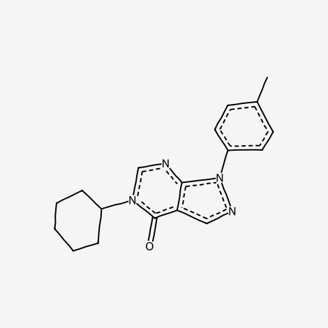 Cc1ccc(-n2ncc3c(=O)n(C4CCCCC4)cnc32)cc1